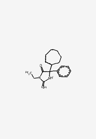 CCN1C(=N)NC(c2ccccc2)(C2CCCCCC2)C1=O